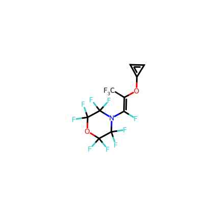 F/C(=C(\OC1=C=C1)C(F)(F)F)N1C(F)(F)C(F)(F)OC(F)(F)C1(F)F